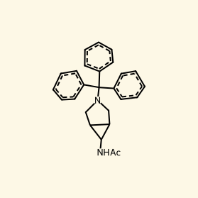 CC(=O)NC1C2CN(C(c3ccccc3)(c3ccccc3)c3ccccc3)CC21